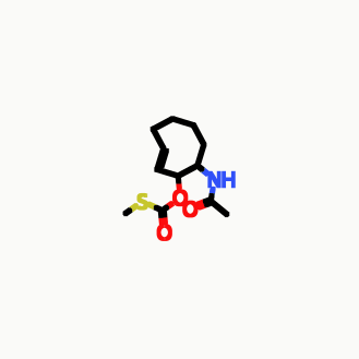 CSC(=O)OC1/C=C/CCCCC1NC(C)=O